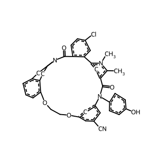 Cc1c2cc(n1C)-c1cc(Cl)ccc1C(=O)N1CCc3c(cccc3OCCOc3cc(C#N)cc(c3)N(c3ccc(O)cc3)C2=O)C1